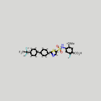 COc1cc(C(=O)O)c(F)cc1NS(=O)(=O)c1cnc(-c2ccc(-c3ccc(C(F)(F)C(F)(F)F)cc3)cc2)s1